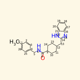 Cc1ccc(CNC(=O)C2CCC(Cc3nc4ccccc4[nH]3)CC2)cc1